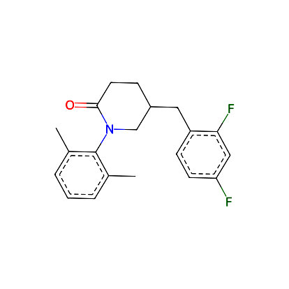 Cc1cccc(C)c1N1CC(Cc2ccc(F)cc2F)CCC1=O